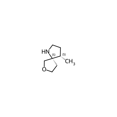 C[C@H]1CCN[C@@]12CCOC2